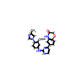 COc1cc(Nc2nccc(-c3ccc4c(c3)NC(=O)CO4)n2)ccc1-n1cnc(C)c1